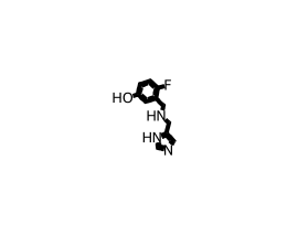 Oc1ccc(F)c(CNCc2cnc[nH]2)c1